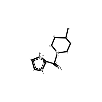 CC1CCN(C(=O)c2ncc[nH]2)CC1